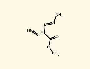 N=C[C@H](N=NN)C(=O)ON